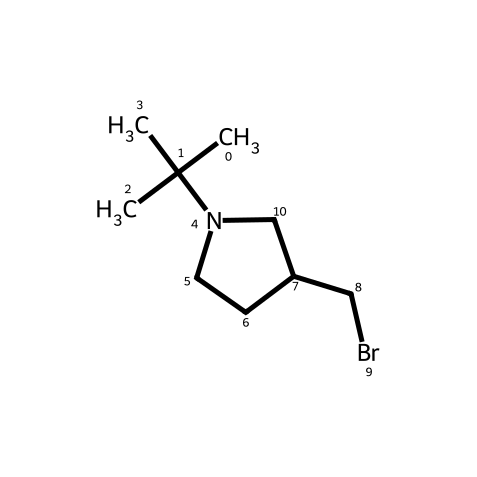 CC(C)(C)N1CCC(CBr)C1